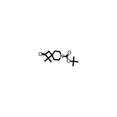 CC(C)(C)OC(=O)N1CCC2(CC1)CC(=O)C2(C)C